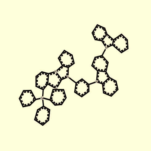 c1ccc([Si](c2ccccc2)(c2ccccc2)c2cccc3c2nc2n(-c4cccc(-n5c6ccccc6c6cc(-n7c8ccccc8c8ccccc87)ccc65)c4)c4ccccc4n32)cc1